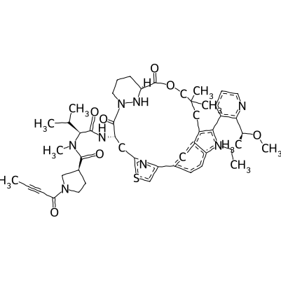 CC#CC(=O)N1CC[C@H](C(=O)N(C)[C@H](C(=O)N[C@H]2Cc3nc(cs3)-c3ccc4c(c3)c(c(-c3cccnc3[C@H](C)OC)n4CC)CC(C)(C)COC(=O)[C@@H]3CCCN(N3)C2=O)C(C)C)C1